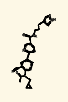 CC(=O)N(CC1CC1)c1ccc(-c2ccc(C(=O)NCCCc3cn[nH]c3)cn2)cc1C#N